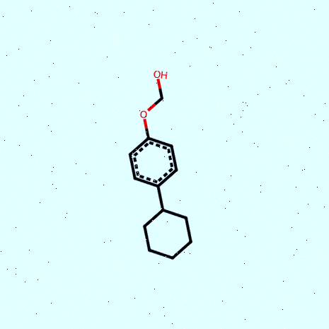 OCOc1ccc(C2CCCCC2)cc1